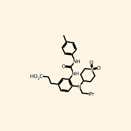 Cc1ccc(NC(=O)Nc2cc(CCC(=O)O)ccc2N(CC(C)C)C2CCS(=O)(=O)CC2)cc1